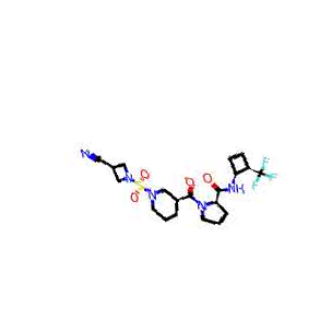 N#CC1CN(S(=O)(=O)N2CCC[C@H](C(=O)N3CCC[C@@H]3C(=O)N[C@H]3CC[C@H]3C(F)(F)F)C2)C1